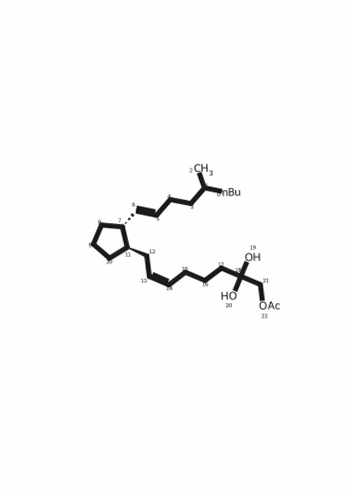 CCCCC(C)CC/C=C/[C@H]1CCC[C@@H]1C/C=C\CCCC(O)(O)COC(C)=O